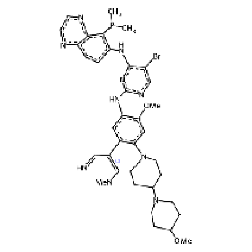 CN/C=C(\C=N)c1cc(Nc2ncc(Br)c(Nc3ccc4nccnc4c3P(C)C)n2)c(OC)cc1N1CCC(N2CCC(OC)CC2)CC1